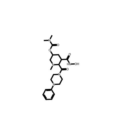 CN(C)C(=O)OC1CC(C(=O)NO)C(C(=O)N2CCN(c3ccccc3)CC2)N(C)C1